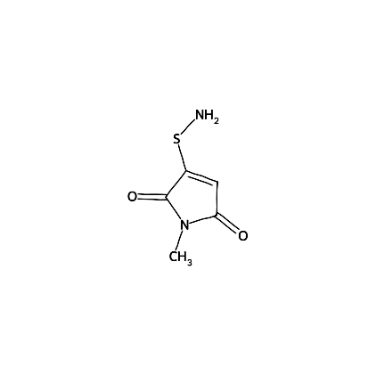 CN1C(=O)C=C(SN)C1=O